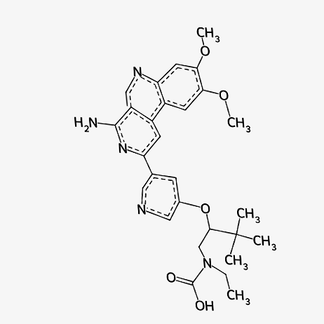 CCN(CC(Oc1cncc(-c2cc3c(cnc4cc(OC)c(OC)cc43)c(N)n2)c1)C(C)(C)C)C(=O)O